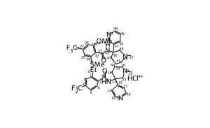 CCc1cc(C(F)(F)F)ccc1C(=O)NC1(c2ccncc2)CCCN(C)C1.COc1cc(C(F)(F)F)cc(SC)c1C(=O)NC1(c2cccnc2)CCCN(C)C1.Cl